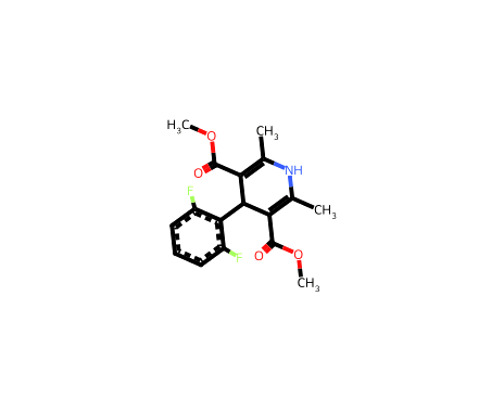 COC(=O)C1=C(C)NC(C)=C(C(=O)OC)C1c1c(F)cccc1F